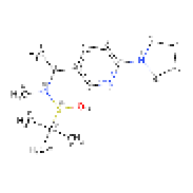 CC(c1ccc(N2CCCC2)nc1)N(C)[S+]([O-])C(C)(C)C